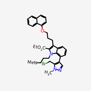 CCOC(=O)c1c(CCCOc2cccc3ccccc23)c2cccc(-c3cnn(C)c3CBr)c2n1CCCNC